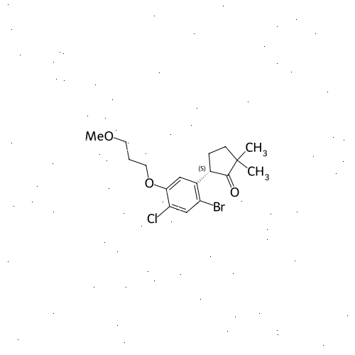 COCCCOc1cc([C@@H]2CCC(C)(C)C2=O)c(Br)cc1Cl